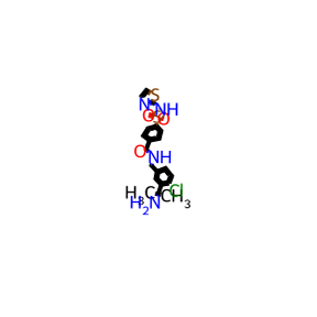 CC(C)(N)c1cc(CNC(=O)c2ccc(S(=O)(=O)Nc3nccs3)cc2)ccc1Cl